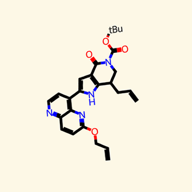 C=CCOc1ccc2nccc(-c3cc4c([nH]3)C(CC=C)CN(C(=O)OC(C)(C)C)C4=O)c2n1